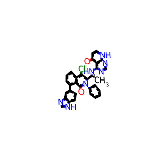 C[C@H](Nc1ncnc2[nH]ccc(=O)c12)c1c(Cl)c2cccc(-c3ccc4[nH]cnc4c3)c2c(=O)n1-c1ccccc1